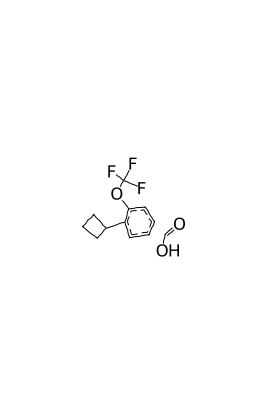 FC(F)(F)Oc1ccccc1C1CCC1.O=CO